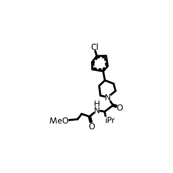 COCCC(=O)NC(C(=O)N1CCC(c2ccc(Cl)cc2)CC1)C(C)C